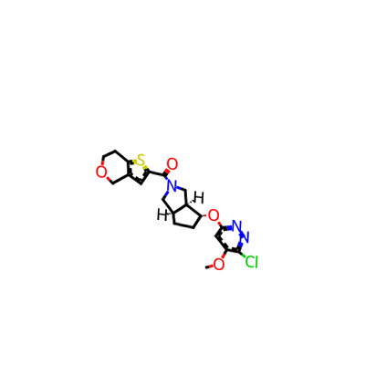 COc1cc(O[C@@H]2CC[C@H]3CN(C(=O)c4cc5c(s4)CCOC5)C[C@H]32)nnc1Cl